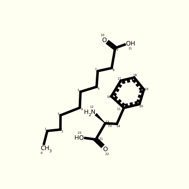 CCCCCCCCCC(=O)O.N[C@@H](Cc1ccccc1)C(=O)O